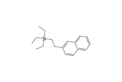 CC[Si](CC)(CC)CCc1ccc2ccccc2c1